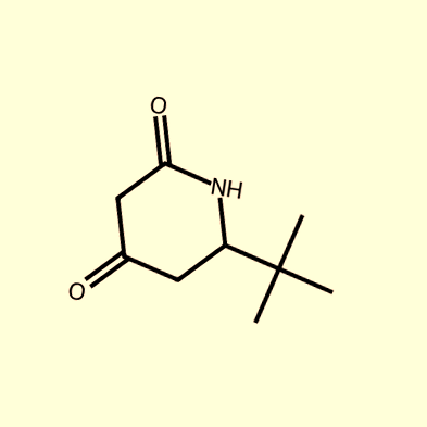 CC(C)(C)C1CC(=O)CC(=O)N1